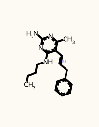 CCCCNc1nc(N)nc(C)c1/C=C/Cc1ccccc1